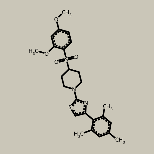 COc1ccc(S(=O)(=O)C2CCN(c3nc(-c4c(C)cc(C)cc4C)cs3)CC2)c(OC)c1